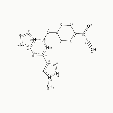 C#CC(=O)N1CCC(Oc2nc(-c3cnn(C)c3)cc3nccn23)CC1